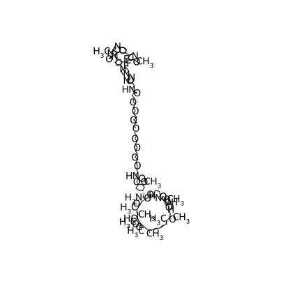 COc1ccc(-c2ccc3ncc4c(c3c2)n(-c2ccc(N3CCN(c5ncc(CNC(=O)CCOCCOCCOCCOCCOCCOCCOCCOCCNC(=O)O[C@@H]6CC[C@@H](C[C@@H](N)[C@@H]7CC(=O)[C@H](C)/C=C(\C)[C@@H](O)[C@@H](OC)C(=O)[C@H](C)C[C@H](C)/C=C/C=C/C=C(\C)[C@@H](OC)C[C@@H]8CC[C@@H](C)[C@@](O)(O8)C(=O)C(=O)N8CCCC[C@H]8C(=O)O7)C[C@H]6OC)cn5)CC3)c(C(F)(F)F)c2)c(=O)n4C)cn1